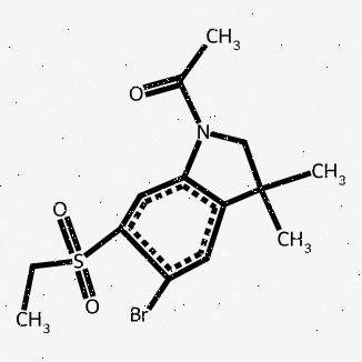 CCS(=O)(=O)c1cc2c(cc1Br)C(C)(C)CN2C(C)=O